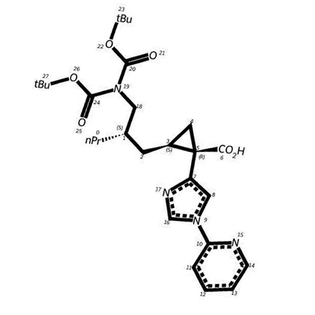 CCC[C@@H](C[C@H]1C[C@]1(C(=O)O)c1cn(-c2ccccn2)cn1)CN(C(=O)OC(C)(C)C)C(=O)OC(C)(C)C